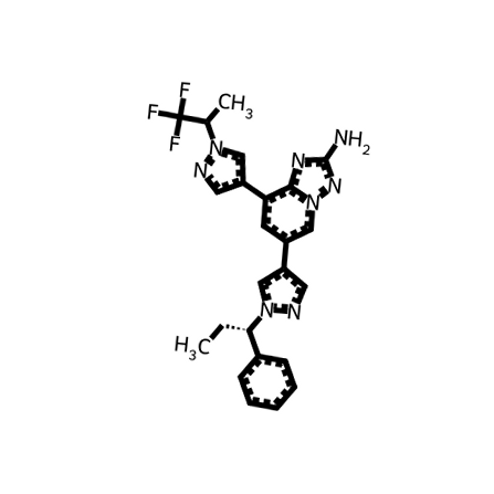 CC[C@@H](c1ccccc1)n1cc(-c2cc(-c3cnn(C(C)C(F)(F)F)c3)c3nc(N)nn3c2)cn1